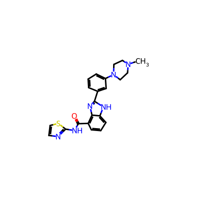 CN1CCN(c2cccc(-c3nc4c(C(=O)Nc5nccs5)cccc4[nH]3)c2)CC1